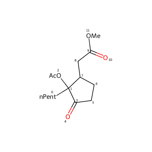 CCCCCC1(OC(C)=O)C(=O)CCC1CC(=O)OC